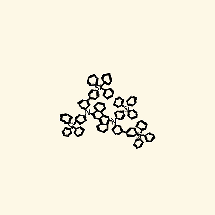 c1ccc([Si](c2ccccc2)(c2ccccc2)c2ccc(-c3cccc(N(c4ccc([Si](c5ccccc5)(c5ccccc5)c5ccccc5)cc4)c4cc5c6ccccc6c(N(c6ccc([Si](c7ccccc7)(c7ccccc7)c7ccccc7)cc6)c6cccc(-c7ccc([Si](c8ccccc8)(c8ccccc8)c8ccccc8)cc7)c6)cc5c5ccccc45)c3)cc2)cc1